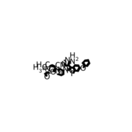 CN(C1COC1)C(C)(C)/C=C(/C#N)C(=O)N1CCC[C@@H](n2nc(-c3ccc(Oc4ccccc4)cc3F)c3c(N)ncnc32)C1